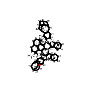 CC1(C)CCC2(C)CCC(C)(C)c3c4c5c(c1c32)-n1c2cc3c(cc2n2c6c(c(c12)B5c1c2c(n5c7cc8c(cc7n-4c15)C1CC4CC5CC8CC45C1)C1CCC2CC1)C1CCC6CC1)C1CC2CC(CC3C2)C1